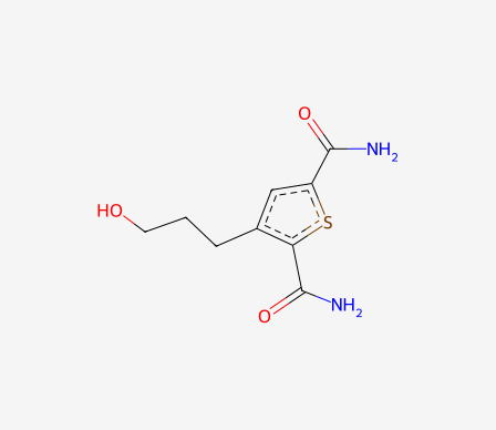 NC(=O)c1cc(CCCO)c(C(N)=O)s1